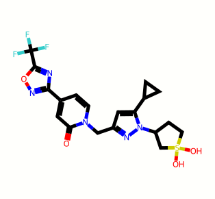 O=c1cc(-c2noc(C(F)(F)F)n2)ccn1Cc1cc(C2CC2)n(C2CCS(O)(O)C2)n1